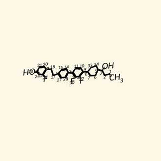 CCCC(O)C1CCC(c2ccc(-c3ccc(CCc4ccc(O)cc4F)cc3)c(F)c2F)CC1